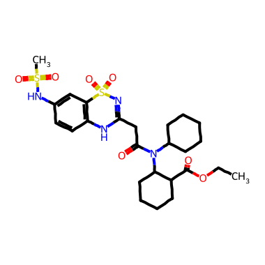 CCOC(=O)C1CCCCC1N(C(=O)CC1=NS(=O)(=O)c2cc(NS(C)(=O)=O)ccc2N1)C1CCCCC1